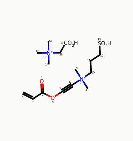 C=CC(=O)OC#C[N+](C)(C)CCCS(=O)(=O)O.C[N+](C)(C)CC(=O)O